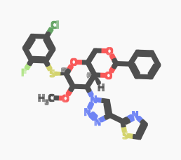 COC1C(n2cc(-c3nccs3)nn2)[C@H]2OC(c3ccccc3)OCC2O[C@@H]1Sc1cc(Cl)ccc1F